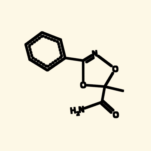 CC1(C(N)=O)ON=C(c2ccccc2)O1